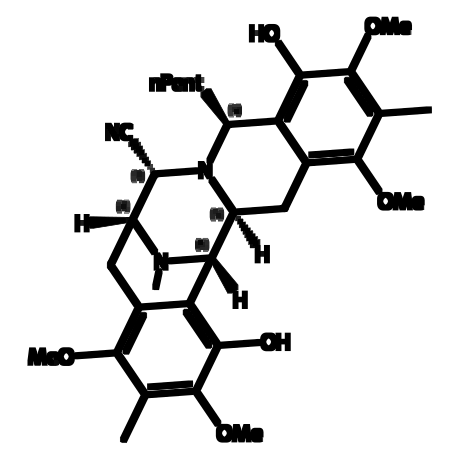 CCCCC[C@H]1c2c(O)c(OC)c(C)c(OC)c2C[C@H]2[C@@H]3c4c(O)c(OC)c(C)c(OC)c4C[C@H]([C@H](C#N)N12)N3C